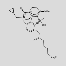 CO[C@]12CC[C@@]3(CC1C(C)(O)C(C)(C)C)[C@H]1Cc4ccc(OC(=O)CCCCC(=O)O)c5c4[C@@]3(CCN1CC1CC1)C2O5